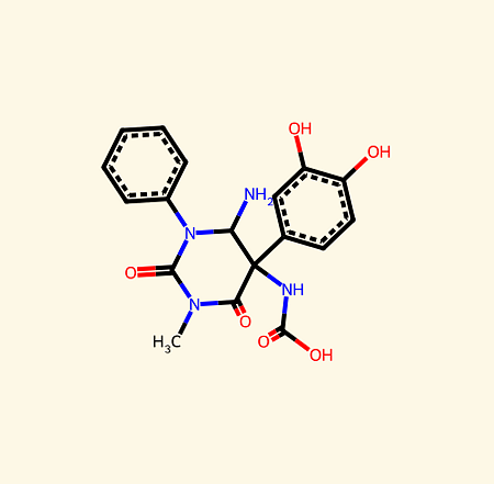 CN1C(=O)N(c2ccccc2)C(N)C(NC(=O)O)(c2ccc(O)c(O)c2)C1=O